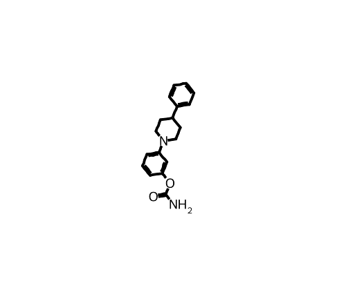 NC(=O)Oc1cccc(N2CCC(c3ccccc3)CC2)c1